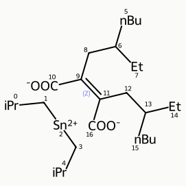 CC(C)[CH2][Sn+2][CH2]C(C)C.CCCCC(CC)C/C(C(=O)[O-])=C(\CC(CC)CCCC)C(=O)[O-]